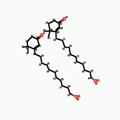 CC1(C)CCC(=O)C=C1CCCCCCCCCCCO.CC1(C)CCC(=O)C=C1CCCCCCCCCCCO